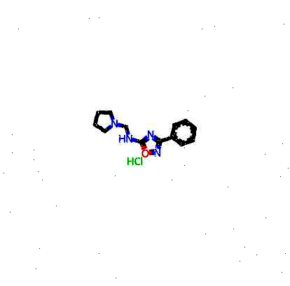 Cl.c1ccc(-c2noc(NCN3CCCC3)n2)cc1